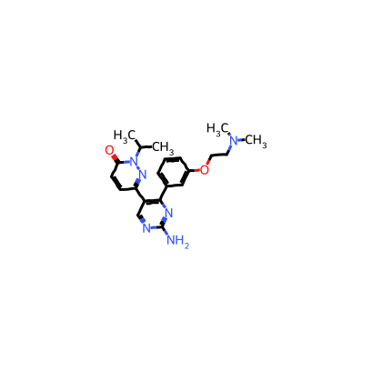 CC(C)n1nc(-c2cnc(N)nc2-c2cccc(OCCN(C)C)c2)ccc1=O